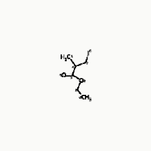 CCOC(=O)C(C)CI